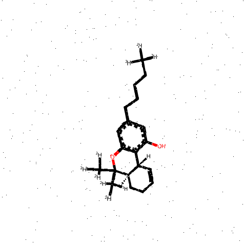 [2H]C([2H])([2H])CCCCc1cc(O)c2c(c1)OC(C([2H])([2H])[2H])(C([2H])([2H])[2H])[C@@H]1CCC=C[C@@H]21